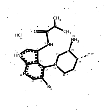 CC(C)C(=O)Nc1c[nH]c2ncc(Br)c(N3CC[C@@H](F)[C@H](N)C3)c12.Cl